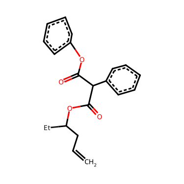 C=CCC(CC)OC(=O)C(C(=O)Oc1ccccc1)c1ccccc1